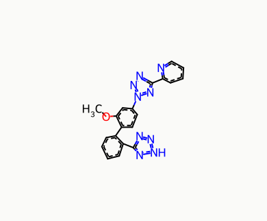 COc1cc(-n2nnc(-c3ccccn3)n2)ccc1-c1ccccc1-c1nn[nH]n1